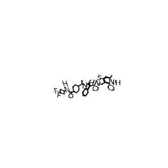 CSc1cc(C)[nH]c(=O)c1CNC(=O)c1c(C)n(C(C)C2CCC(C(=O)NC3CC(F)(F)C3)CC2)c2ccccc12